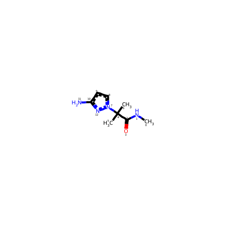 CNC(=O)C(C)(C)n1ccc(N)n1